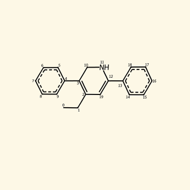 CCC1=C(c2ccccc2)CNC(c2ccccc2)=C1